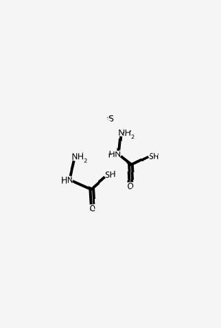 NNC(=O)S.NNC(=O)S.[S]